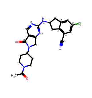 CC(=O)N1CCC(N2Cc3nc(N[C@H]4Cc5cc(Cl)cc(C#N)c5C4)ncc3C2=O)CC1